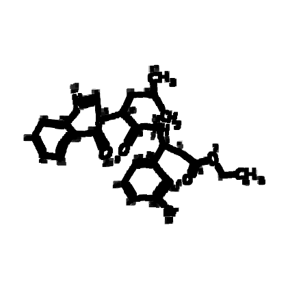 CCOC(=O)CC(NC(=O)C(CC(C)C)n1cnc2ccccc2c1=O)c1cccc(Br)c1